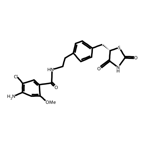 COc1cc(N)c(Cl)cc1C(=O)NCCc1ccc(C[C@@H]2SC(=O)NC2=O)cc1